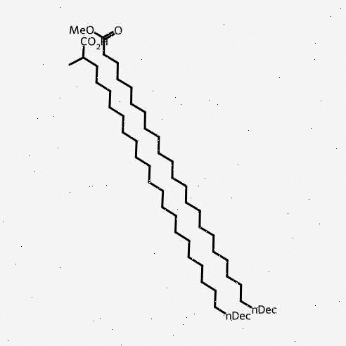 CCCCCCCCCCCCCCCCCCCCCCCCCCCCCCC(C)C(=O)O.CCCCCCCCCCCCCCCCCCCCCCCCCCCCCCCC(=O)OC